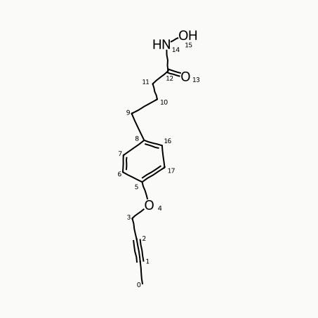 CC#CCOc1ccc(CCCC(=O)NO)cc1